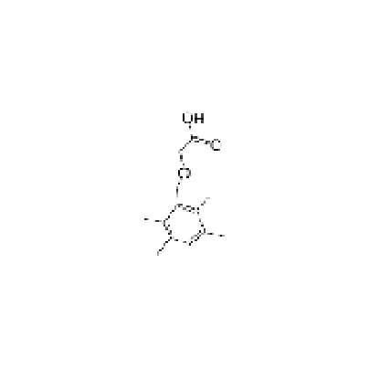 Cc1cc(C)c(C)c(COCC(=O)O)c1C